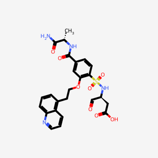 C[C@H](NC(=O)c1ccc(S(=O)(=O)N[C@H](C=O)CC(=O)O)c(OCCc2cccc3ncccc23)c1)C(N)=O